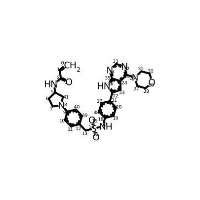 C=CC(=O)NC1CCN(c2ccc(CS(=O)(=O)Nc3ccc(-c4cc5c(N6CCOCC6)ncnc5[nH]4)cc3)cc2)C1